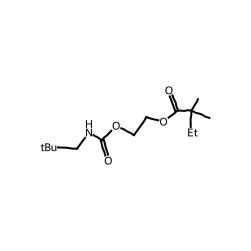 CCC(C)(C)C(=O)OCCOC(=O)NCC(C)(C)C